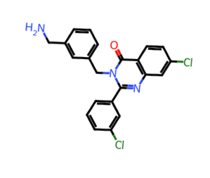 NCc1cccc(Cn2c(-c3cccc(Cl)c3)nc3cc(Cl)ccc3c2=O)c1